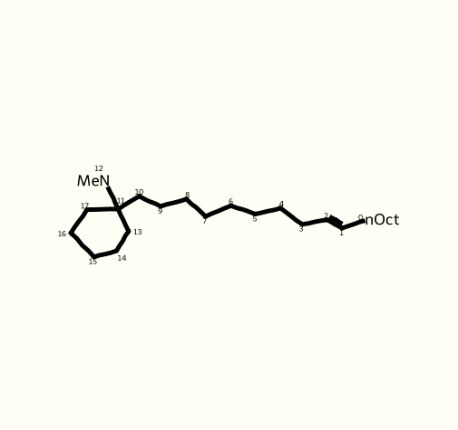 CCCCCCCCC=CCCCCCCCCC1(NC)CCCCC1